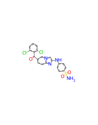 NS(=O)(=O)c1ccc(Nc2cn3cc(C(=O)c4c(Cl)cccc4Cl)ccc3n2)cc1